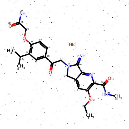 Br.CCOc1cc2c(nc1C(=O)NC)C(=N)N(CC(=O)c1ccc(OCC(N)=O)c(C(C)C)c1)C2